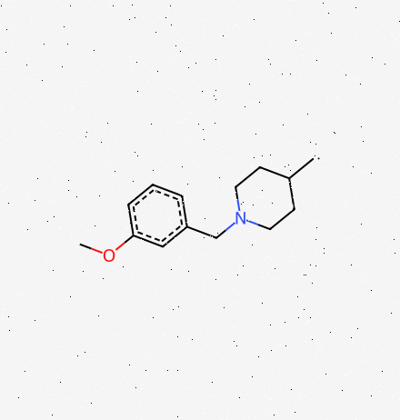 [CH2]C1CCN(Cc2cccc(OC)c2)CC1